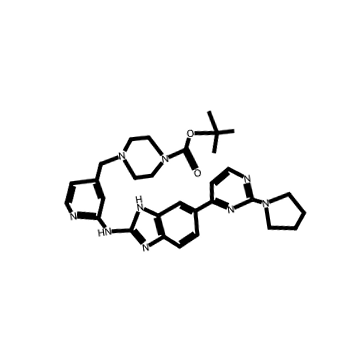 CC(C)(C)OC(=O)N1CCN(Cc2ccnc(Nc3nc4ccc(-c5ccnc(N6CCCC6)n5)cc4[nH]3)c2)CC1